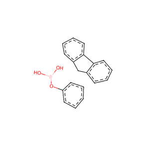 OB(O)Oc1ccccc1.c1ccc2c(c1)Cc1ccccc1-2